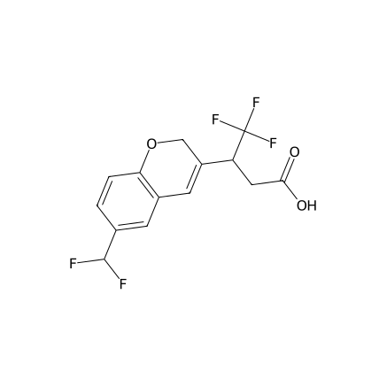 O=C(O)CC(C1=Cc2cc(C(F)F)ccc2OC1)C(F)(F)F